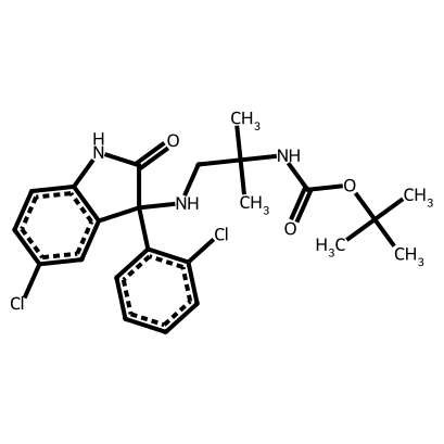 CC(C)(CNC1(c2ccccc2Cl)C(=O)Nc2ccc(Cl)cc21)NC(=O)OC(C)(C)C